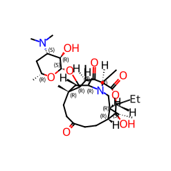 CC[C@H]1OC(=O)[C@H](C)C(=O)[C@H](C)[C@@H](O[C@@H]2O[C@H](C)C[C@H](N(C)C)[C@H]2O)[C@]2(C)CCC(=O)CC[C@H]([C@@H](C)CN(C)[C@H](C)C2)[C@]1(C)O